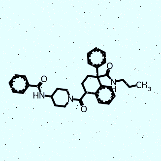 CCCNC(=O)C1(c2ccccc2)CCC(C(=O)N2CCC(NC(=O)c3ccccc3)CC2)c2ccccc21